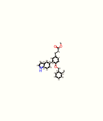 COC(=O)CCc1ccc(OCc2ccccc2C)c(-c2ccc3[nH]ccc3c2)c1